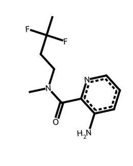 CN(CCC(C)(F)F)C(=O)c1ncccc1N